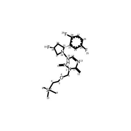 C=NN(COCC[Si](C)(C)C)C(=C)/N=C\NN1C[C@@H](F)C[C@@H]1c1cc(F)ccc1F